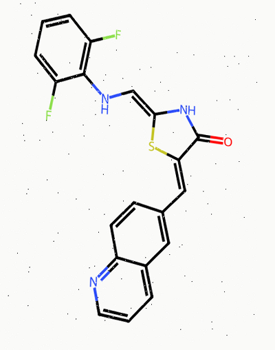 O=c1[nH]/c(=C/Nc2c(F)cccc2F)s/c1=C\c1ccc2ncccc2c1